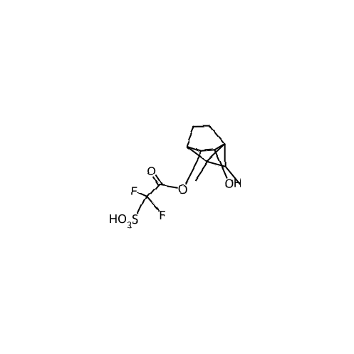 CC1C2(C)C3CCC12C(O)C3OC(=O)C(F)(F)S(=O)(=O)O